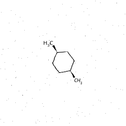 C[C@H]1CC[C@@H](C)CC1